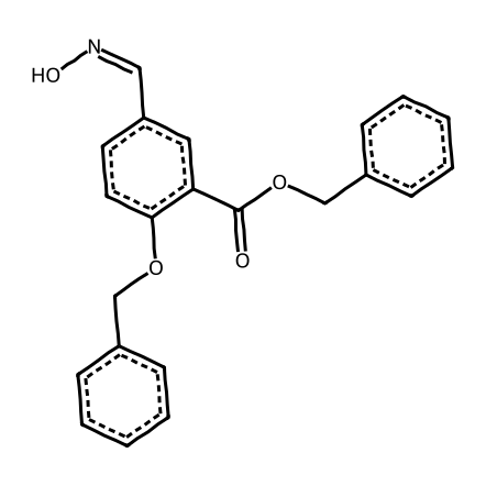 O=C(OCc1ccccc1)c1cc(/C=N\O)ccc1OCc1ccccc1